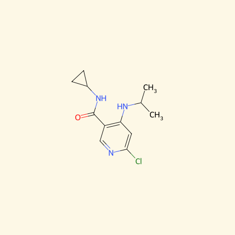 CC(C)Nc1cc(Cl)ncc1C(=O)NC1CC1